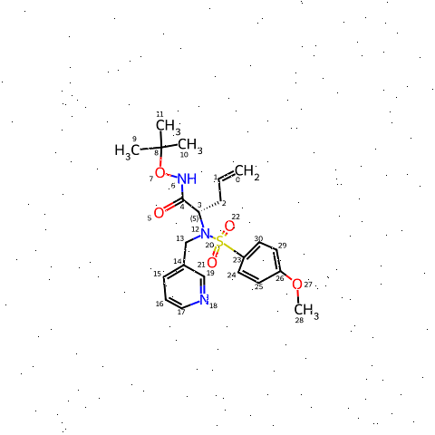 C=CC[C@@H](C(=O)NOC(C)(C)C)N(Cc1cccnc1)S(=O)(=O)c1ccc(OC)cc1